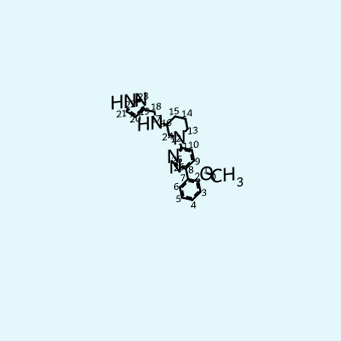 COc1ccccc1-c1ccc(N2CCCC(NCc3cc[nH]n3)C2)nn1